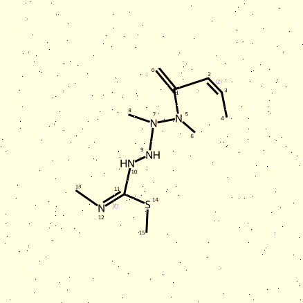 C=C(/C=C\C)N(C)N(C)NN/C(=N\C)SC